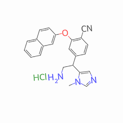 Cl.Cn1cncc1C(CN)c1ccc(C#N)c(Oc2ccc3ccccc3c2)c1